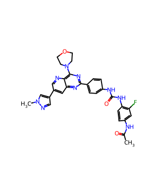 CC(=O)Nc1ccc(NC(=O)Nc2ccc(-c3nc(N4CCOCC4)c4ncc(-c5cnn(C)c5)cc4n3)cc2)c(F)c1